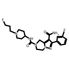 NC(=O)c1c(-c2cccc(F)c2)nn2c1CN(C(=O)NC1CCN(CCCF)CC1)CC2